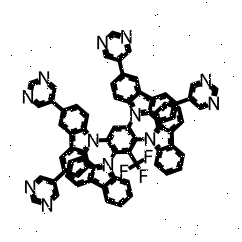 FC(F)(F)c1c(-n2c3ccccc3c3ccccc32)c(-n2c3ccc(-c4cncnc4)cc3c3cc(-c4cncnc4)ccc32)cc(-n2c3ccc(-c4cncnc4)cc3c3cc(-c4cncnc4)ccc32)c1-n1c2ccccc2c2ccccc21